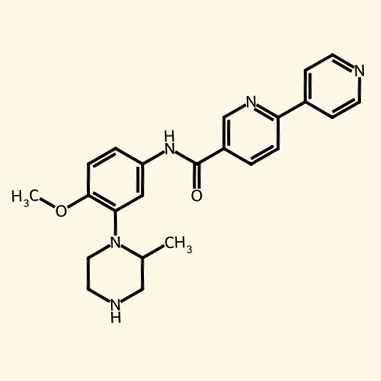 COc1ccc(NC(=O)c2ccc(-c3ccncc3)nc2)cc1N1CCNCC1C